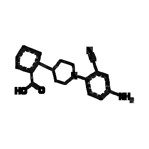 N#Cc1cc(N)ccc1N1CCC(c2ccccc2C(=O)O)CC1